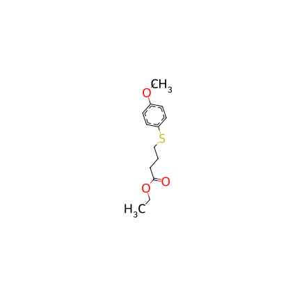 CCOC(=O)CCCSc1ccc(OC)cc1